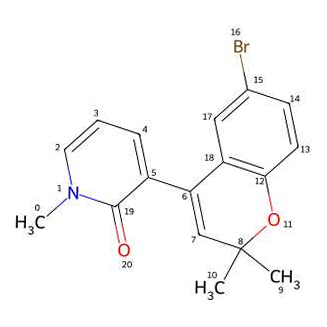 Cn1cccc(C2=CC(C)(C)Oc3ccc(Br)cc32)c1=O